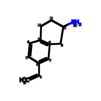 C=Cc1ccc2c(c1)CC(N)CC2